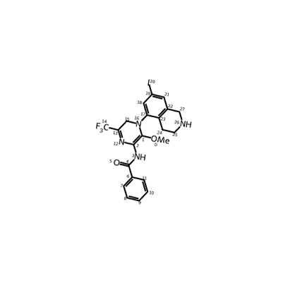 COC1=C(NC(=O)c2ccccc2)N=C(C(F)(F)F)CN1c1cc(I)cc2c1CCNC2